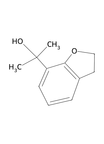 CC(C)(O)c1cccc2c1OCC2